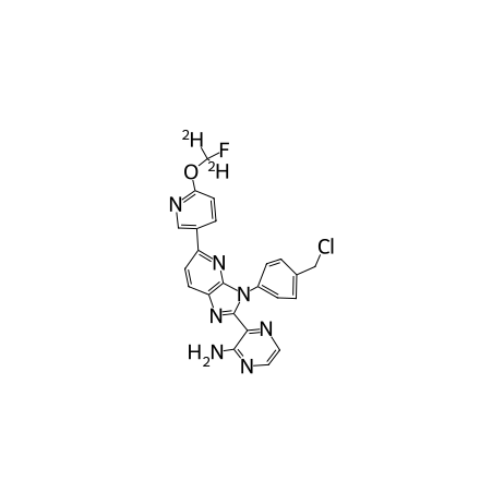 [2H]C([2H])(F)Oc1ccc(-c2ccc3nc(-c4nccnc4N)n(-c4ccc(CCl)cc4)c3n2)cn1